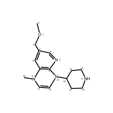 COCc1cnc2c(c1)N(C)C=CN2C1CCNCC1